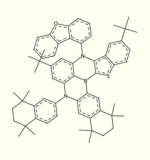 CC(C)(C)c1cc2c3c(c1)N(c1cccc4oc5ccccc5c14)c1c(sc4ccc(C(C)(C)C)cc14)B3c1cc3c(cc1N2c1ccc2c(c1)C(C)(C)CCC2(C)C)C(C)(C)CCC3(C)C